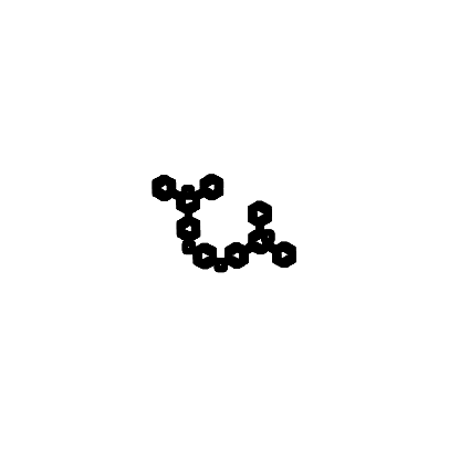 C1=C(c2ccc(Oc3ccc(Oc4ccc(C5=CC(c6ccccc6)OC(c6ccccc6)=C5)cc4)cc3)cc2)C=C(c2ccccc2)OC1c1ccccc1